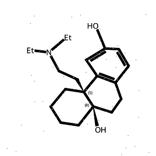 CCN(CC)CC[C@]12CCCC[C@@]1(O)CCc1ccc(O)cc12